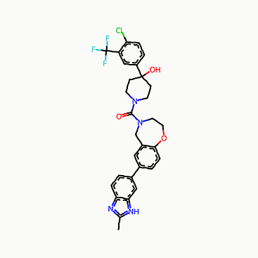 Cc1nc2ccc(-c3ccc4c(c3)CN(C(=O)N3CCC(O)(c5ccc(Cl)c(C(F)(F)F)c5)CC3)CCO4)cc2[nH]1